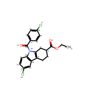 CCOC(=O)C1CCc2c(n(C(=O)c3ccc(Cl)cc3)c3ccc(Cl)cc23)C1